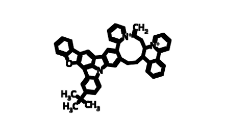 C=C1CC2C(CCc3cc4c(cc3-c3cccc[n+]31)c1cc3c5ccccc5oc3c3c5cc(C(C)(C)C)ccc5n4c13)c1ccccc1-c1cccc[n+]12